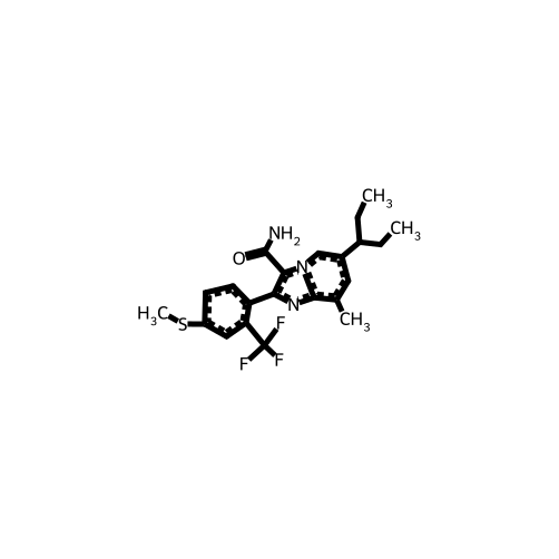 CCC(CC)c1cc(C)c2nc(-c3ccc(SC)cc3C(F)(F)F)c(C(N)=O)n2c1